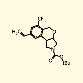 C=Cc1cc2c(c(C(F)(F)F)c1)COC1CN(C(=O)OC(C)(C)C)CC21